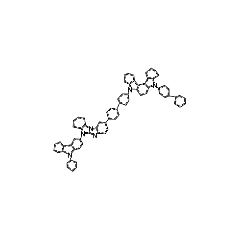 c1ccc(-c2ccc(-n3c4ccccc4c4c5c6ccccc6n(-c6ccc(-c7ccc(-c8ccc9nc%10n(-c%11ccc%12c(c%11)c%11ccccc%11n%12-c%11ccccc%11)c%11ccccc%11n%10c9c8)cc7)cc6)c5ccc43)cc2)cc1